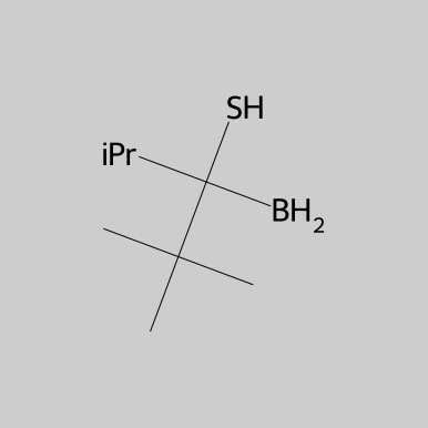 BC(S)(C(C)C)C(C)(C)C